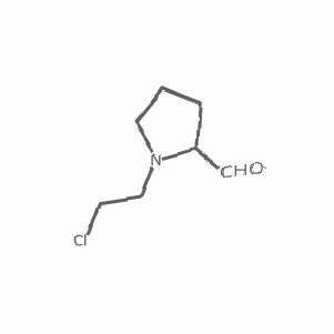 O=[C]C1CCCN1CCCl